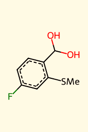 CSc1cc(F)ccc1C(O)O